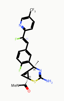 CNC(=O)[C@]12C=C1[C@@](C)(c1cc(/C=C(\F)c3ccc(C(F)(F)F)cn3)ccc1F)N=C(N)S2